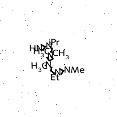 CCC(CCN(C)C1CN(C(C)(C)CN(C(C)C)C2CNC2)C1)N1CC(NC)C1